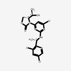 C[C@H](Nc1nc(Cl)cc(N2C(=O)OC[C@@H]2[C@@H](C)O)n1)c1ncc(Cl)cc1Cl